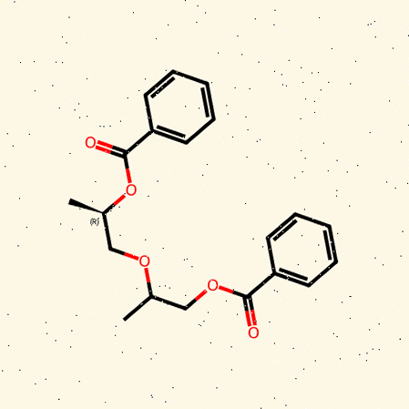 CC(COC(=O)c1ccccc1)OC[C@@H](C)OC(=O)c1ccccc1